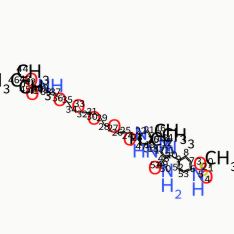 CCS(=O)(=O)Nc1ccc(-c2nn(C(C)(C)C)c(Nc3ccnc(OCCOCCOCCOCCOCCNC(=O)OC(C)(C)C)c3)c2C(N)=O)cc1